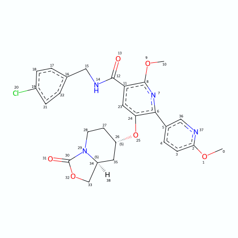 COc1ccc(-c2nc(OC)c(C(=O)NCc3ccc(Cl)cc3)cc2O[C@H]2CCN3C(=O)OC[C@@H]3C2)cn1